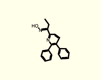 CCC(=NO)c1ccc(-c2ccccc2)c(-c2ccccc2)n1